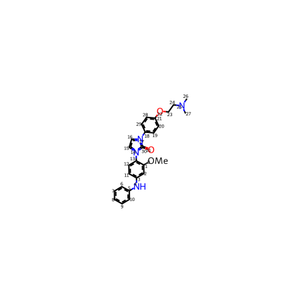 COc1cc(Nc2ccccc2)ccc1-n1ccn(-c2ccc(OCCN(C)C)cc2)c1=O